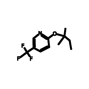 CCC(C)(C)Oc1ccc(C(F)(F)F)cn1